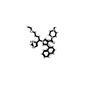 CCOCCCC(c1cnc[nH]1)n1cc(C(=O)N2CCN(C)CC2)c(-c2cccc3ccccc23)c1